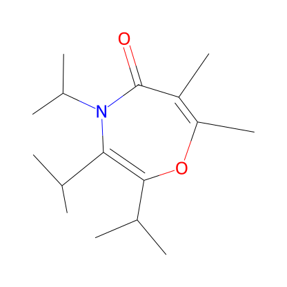 CC1=C(C)C(=O)N(C(C)C)C(C(C)C)=C(C(C)C)O1